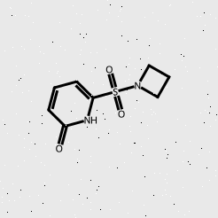 O=c1cccc(S(=O)(=O)N2CCC2)[nH]1